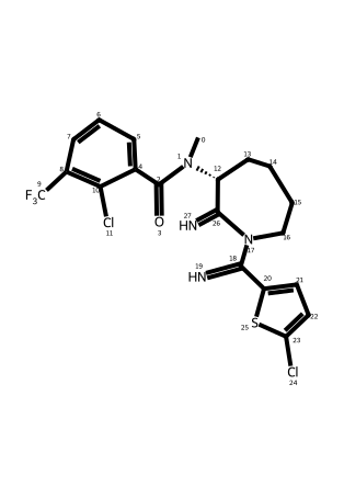 CN(C(=O)c1cccc(C(F)(F)F)c1Cl)[C@@H]1CCCCN(C(=N)c2ccc(Cl)s2)C1=N